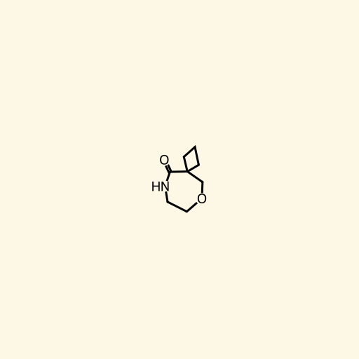 O=C1NCCOCC12CCC2